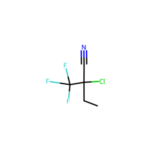 CCC(Cl)(C#N)C(F)(F)F